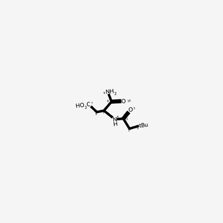 CC(C)(C)CC(=O)NC(CC(=O)O)C(N)=O